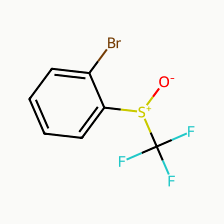 [O-][S+](c1ccccc1Br)C(F)(F)F